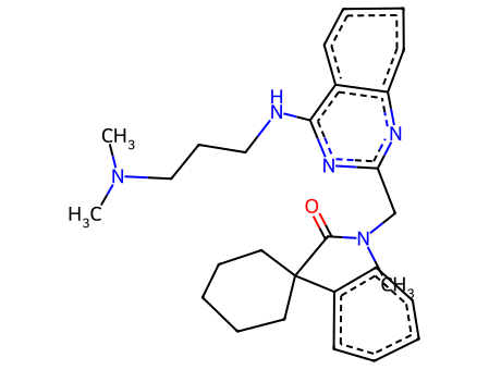 CN(C)CCCNc1nc(CN(C)C(=O)C2(c3ccccc3)CCCCC2)nc2ccccc12